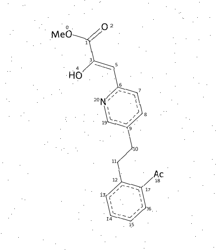 COC(=O)/C(O)=C/c1ccc(CCc2ccccc2C(C)=O)cn1